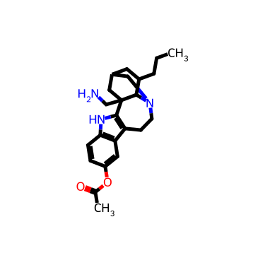 CCCC1CC2CN3CCc4c([nH]c5ccc(OC(C)=O)cc45)C(CN)(C2)C13